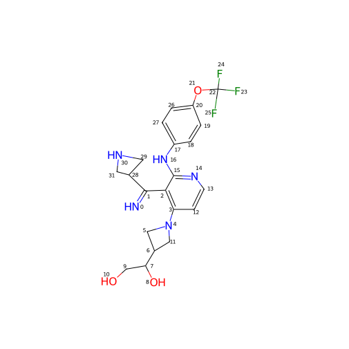 N=C(c1c(N2CC(C(O)CO)C2)ccnc1Nc1ccc(OC(F)(F)F)cc1)C1CNC1